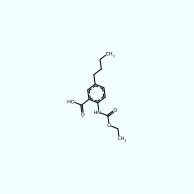 CCCCc1ccc(NC(=O)OCC)c(C(=O)O)c1